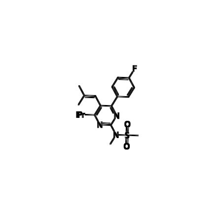 CC(C)=Cc1c(-c2ccc(F)cc2)nc(N(C)S(C)(=O)=O)nc1C(C)C